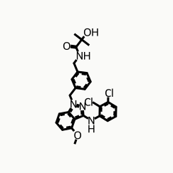 COc1cccc2c1c(Nc1cccc(Cl)c1Cl)nn2Cc1cccc(CNC(=O)C(C)(C)O)c1